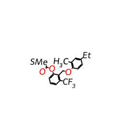 CCc1ccc(OCc2c(OC(=O)SC)cccc2C(F)(F)F)c(C)c1